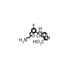 CC(Nc1ccn2ncc(C(=O)O)c2n1)c1cc(F)cc2c1OC(CCN)C2